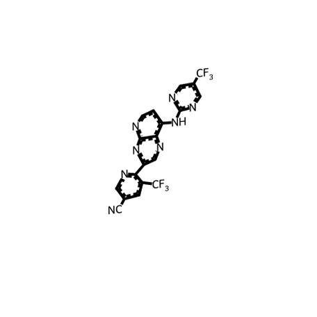 N#Cc1cnc(-c2cnc3c(Nc4ncc(C(F)(F)F)cn4)ccnc3n2)c(C(F)(F)F)c1